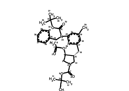 CC(=O)O[C@@H]1CN(C(=O)OC(C)(C)C)C[C@H]1Cc1cc(C)cc(N(Cc2ccccc2)C(=O)OC(C)(C)C)n1